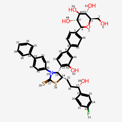 OC[C@H]1O[C@@H](c2ccc(-c3ccc([C@@H]4[C@H](CC[C@H](O)c5ccc(F)cc5)SC(=S)N4c4ccc(-c5ccccc5)cc4)c(O)c3)cc2)[C@H](O)[C@@H](O)[C@@H]1O